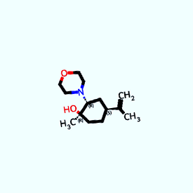 C=C(C)[C@H]1CC[C@@](C)(O)[C@H](N2CCOCC2)C1